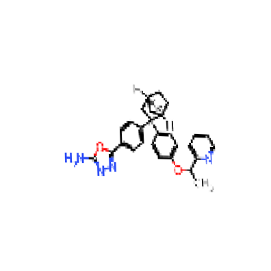 CC(Oc1ccc([C@@]2(c3ccc(-c4nnc(N)o4)cc3)C[C@@H]3CC[C@H]2C3)cc1)c1ccccn1